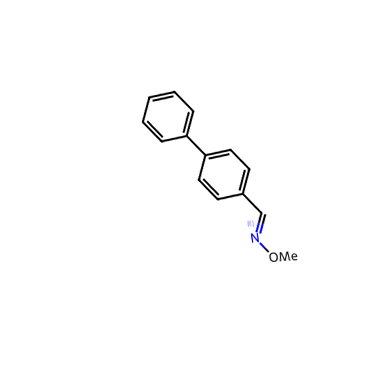 CO/N=C/c1ccc(-c2ccccc2)cc1